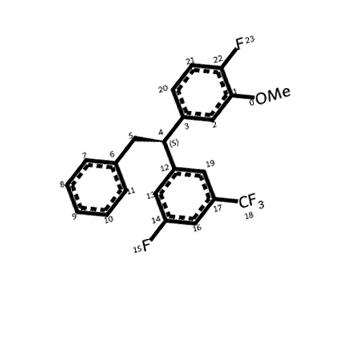 COc1cc([C@H](Cc2ccccc2)c2cc(F)cc(C(F)(F)F)c2)ccc1F